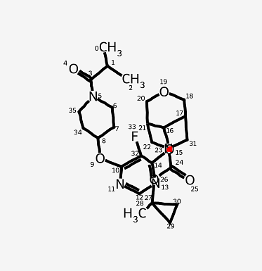 CC(C)C(=O)N1CCC(Oc2ncnc(OC3C4COCC3CN(C(=O)OC3(C)CC3)C4)c2F)CC1